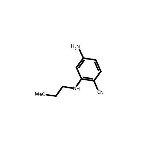 COCCNc1cc(N)ccc1C#N